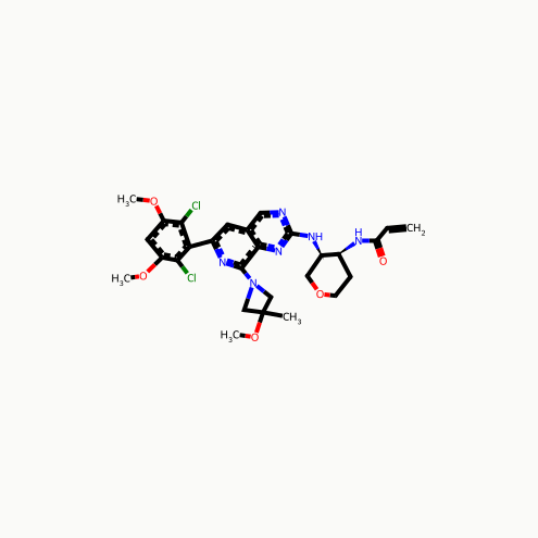 C=CC(=O)N[C@H]1CCOC[C@H]1Nc1ncc2cc(-c3c(Cl)c(OC)cc(OC)c3Cl)nc(N3CC(C)(OC)C3)c2n1